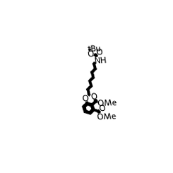 COC(=O)c1cccc(OCCCCCCCCNC(=O)OC(C)(C)C)c1C(=O)OC